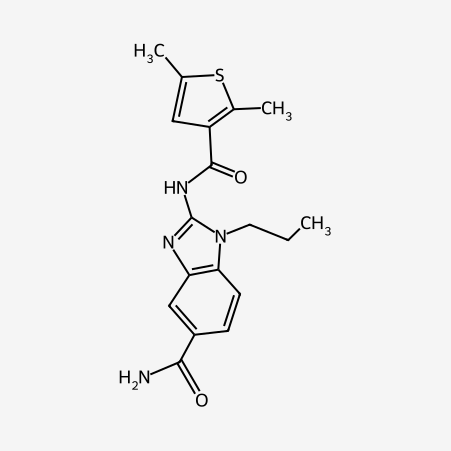 CCCn1c(NC(=O)c2cc(C)sc2C)nc2cc(C(N)=O)ccc21